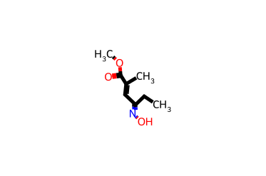 CCC(/C=C(\C)C(=O)OC)=N\O